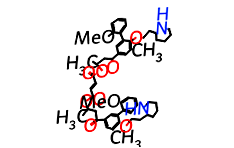 COc1ccccc1-c1cc(C(=O)CC(C)OC(=O)/C=C/C(=O)OC(C)CC(=O)c2cc(C)c(OCCC3CCCCN3)c(-c3ccccc3OC)c2)cc(C)c1OCCC1CCCCN1